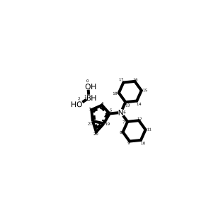 OBO.c1cc(N(C2CCCCC2)C2CCCCC2)c2cc1-2